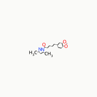 Cc1cc(C)n(C(=O)/C=C/C=C/c2ccc3c(c2)OCO3)n1